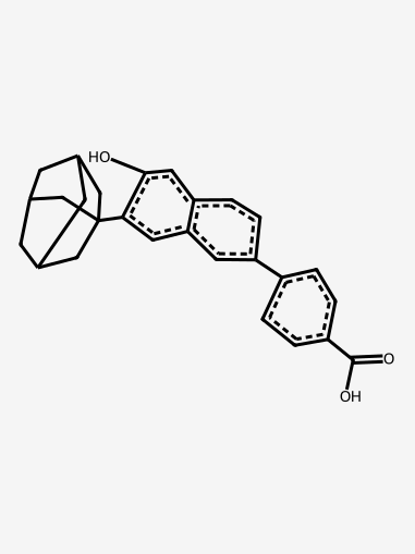 O=C(O)c1ccc(-c2ccc3cc(O)c(C45CC6CC(CC(C6)C4)C5)cc3c2)cc1